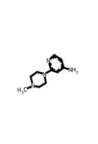 CN1CCN(c2cc(N)ccn2)CC1